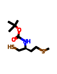 CSCC[C@@H](CS)NC(=O)OC(C)(C)C